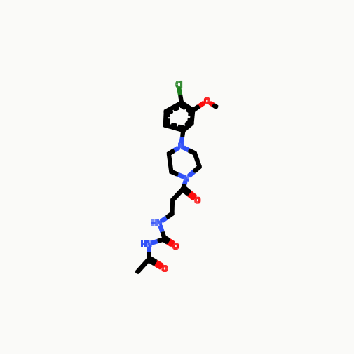 COc1cc(N2CCN(C(=O)CCNC(=O)NC(C)=O)CC2)ccc1Cl